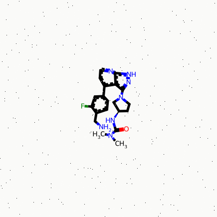 CN(C)C(=O)N[C@@H]1CCN(c2n[nH]c3nccc(-c4ccc(CN)c(F)c4)c23)C1